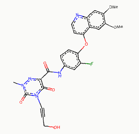 COc1cc2nccc(Oc3ccc(NC(=O)c4nn(C)c(=O)n(C#CCO)c4=O)cc3F)c2cc1OC